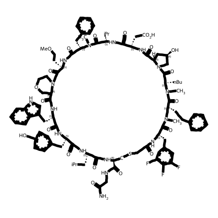 CCCC[C@H]1C(=O)N2C[C@H](O)C[C@@H]2C(=O)N[C@@H](CC(=O)O)C(=O)N[C@@H](C(C)C)C(=O)N(C)[C@@H](Cc2ccccc2)C(=O)N[C@@H](CCOC)C(=O)N2CCOC[C@@H]2C(=O)N[C@@H](Cc2c[nH]c3ccccc23)C(=O)N[C@@H](Cc2ccc(O)cc2)C(=O)N[C@@H](CC(C)C)C(=O)N[C@H](C(=O)NCC(N)=O)CSCC(=O)N[C@@H](Cc2cc(F)c(F)c(F)c2)C(=O)N(C)[C@@H](CCc2ccccc2)C(=O)N1C